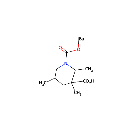 CC1CN(C(=O)OC(C)(C)C)C(C)C(C)(C(=O)O)C1